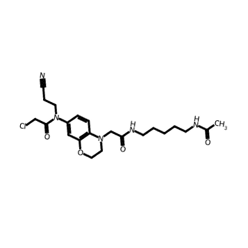 CC(=O)NCCCCCNC(=O)CN1CCOc2cc(N(CCC#N)C(=O)CCl)ccc21